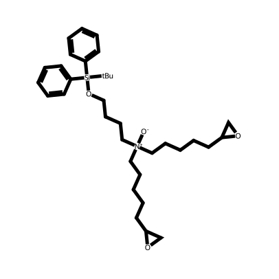 CC(C)(C)[Si](OCCCC[N+]([O-])(CCCCCC1CO1)CCCCCC1CO1)(c1ccccc1)c1ccccc1